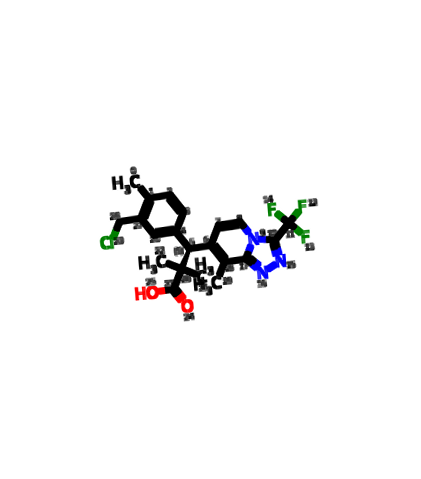 Cc1ccc([C@@H](c2ccn3c(C(F)(F)F)nnc3c2C)C(C)(C)C(=O)O)cc1CCl